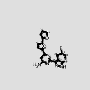 Nc1cc(-c2ccc(-c3ccco3)o2)nc(-c2n[nH]c3ncc(F)cc23)n1